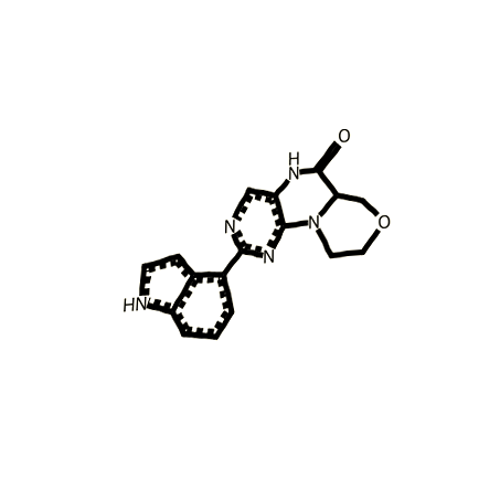 O=C1Nc2cnc(-c3cccc4[nH]ccc34)nc2N2CCOCC12